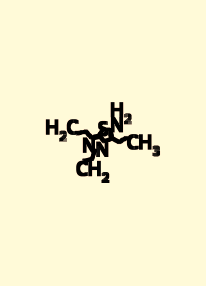 C=CCc1nc(CC=C)c2sc(N)c(CCC)c2n1